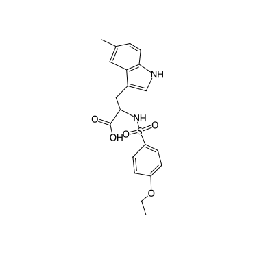 CCOc1ccc(S(=O)(=O)NC(Cc2c[nH]c3ccc(C)cc23)C(=O)O)cc1